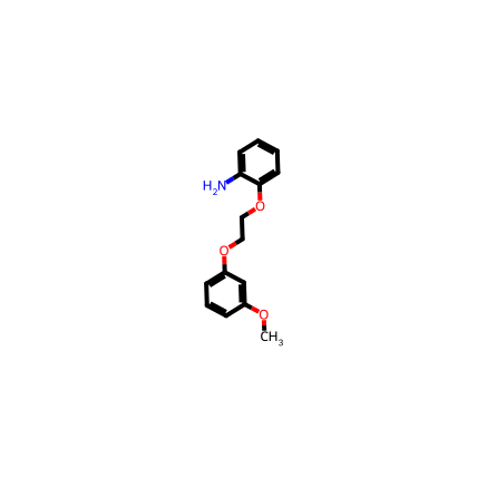 COc1cccc(OCCOc2ccccc2N)c1